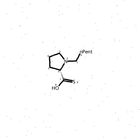 CCCCCCN1CCC[C@H]1C(O)=S